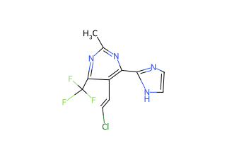 Cc1nc(-c2ncc[nH]2)c(C=CCl)c(C(F)(F)F)n1